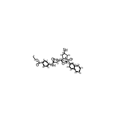 CCOC(=O)c1ccc(NC(=O)CNC(=O)C2CC(S)CN2S(=O)(=O)c2ccc3ccccc3c2)cc1